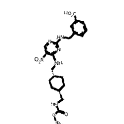 CC(C)(C)OC(=O)NC[C@H]1CC[C@H](CNc2nc(NCc3cccc(C(=O)O)c3)ncc2[N+](=O)[O-])CC1